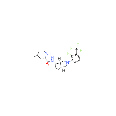 CN[C@@H](CC(C)C)C(=O)N[C@H]1CC[C@@H]2CN(c3cccc(C(F)(F)F)c3F)C[C@@H]21